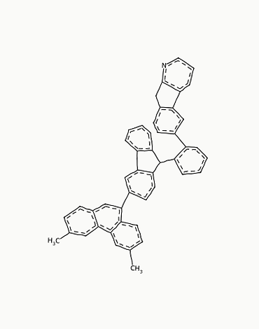 Cc1ccc2cc(-c3ccc4c(c3)-c3ccccc3C4c3ccccc3-c3ccc4c(c3)-c3cccnc3C4)c3ccc(C)cc3c2c1